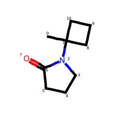 CC1(N2CCCC2=O)CCC1